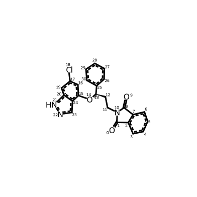 O=C1c2ccccc2C(=O)N1CC[C@@H](Oc1cc(Cl)cc2[nH]ncc12)c1ccccc1